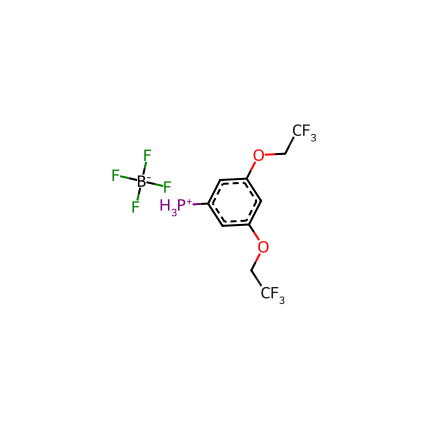 FC(F)(F)COc1cc([PH3+])cc(OCC(F)(F)F)c1.F[B-](F)(F)F